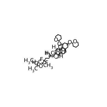 CCOC(C)OC(C)(C)C(F)(F)CC[C@@H](CI)[C@H]1CC[C@H]2[C@@H]3CC=C4C[C@@H](OC5CCCCO5)C[C@H](OC5CCCCO5)[C@]4(C)[C@H]3CC[C@]12C